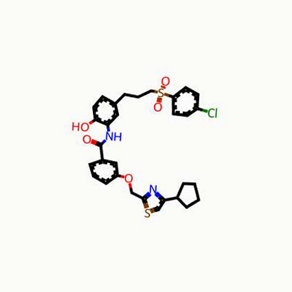 O=C(Nc1cc(CCCS(=O)(=O)c2ccc(Cl)cc2)ccc1O)c1cccc(OCc2nc(C3CCCC3)cs2)c1